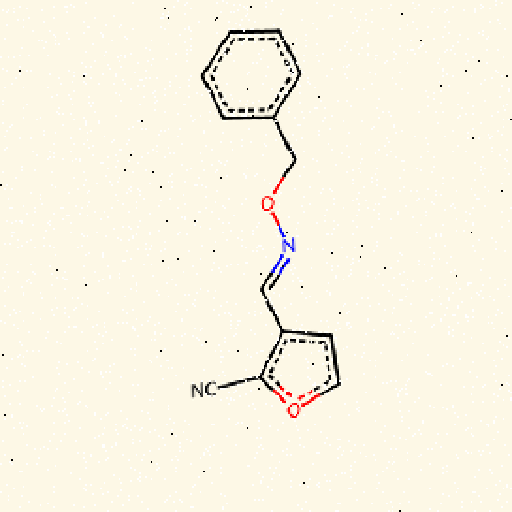 N#Cc1occc1C=NOCc1ccccc1